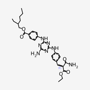 CCCCC(CC)COC(=O)c1ccc(Nc2nc(N)nc(Nc3ccc(/C=C(\C(N)=O)C(=O)OCC)cc3)n2)cc1